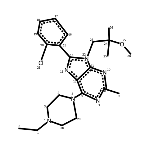 CCN1CCN(c2nc(C)nc3c2nc(-c2ccccc2Cl)n3CC(C)(C)OC)CC1